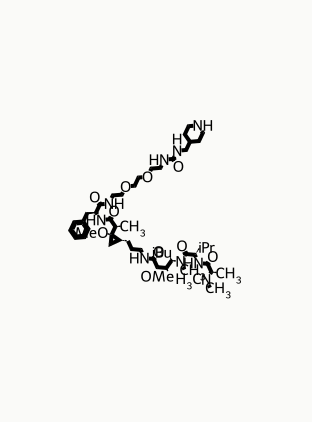 CC[C@H](C)[C@@H]([C@@H](CC(=O)NCCC[C@@H]1C[C@@]1(OC)[C@@H](C)C(=O)N[C@@H](Cc1ccccc1)C(=O)NCCOCCOCCNC(=O)NCC1CCNCC1)OC)N(C)C(=O)[C@@H](NC(=O)[C@H](C)N(C)C)C(C)C